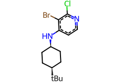 CC(C)(C)[C@H]1CC[C@@H](Nc2ccnc(Cl)c2Br)CC1